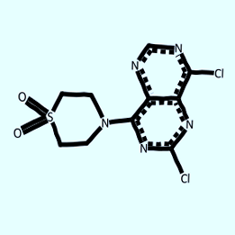 O=S1(=O)CCN(c2nc(Cl)nc3c(Cl)ncnc23)CC1